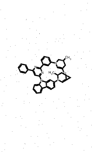 CCC1=CN(c2cccc(-c3nc(-c4ccccc4)cc(-n4c5ccccc5c5ccc(N6C=C7CC7CC6C)cc54)n3)c2)CC(C)C1